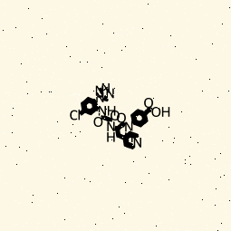 O=C(Nc1cc(Cl)ccc1-n1cnnn1)C(=O)NC(Cc1ccncc1)C(=O)Nc1ccc(C(=O)O)cc1